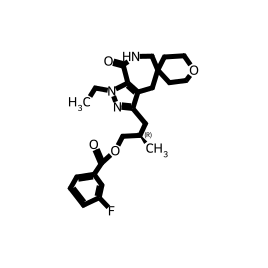 CCn1nc(C[C@@H](C)COC(=O)c2cccc(F)c2)c2c1C(=O)NCC1(CCOCC1)C2